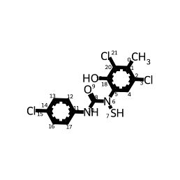 Cc1c(Cl)cc(N(S)C(=O)Nc2ccc(Cl)cc2)c(O)c1Cl